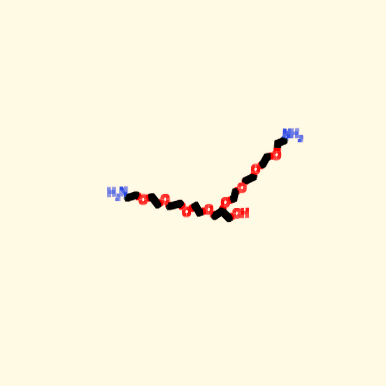 NCCOCCOCCOCCOCC(CO)OCCOCCOCCOCCN